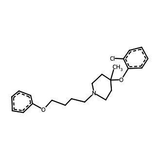 CC1(Oc2ccccc2Cl)CCN(CCCCOc2ccccc2)CC1